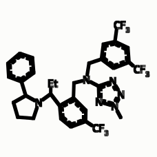 CCC(c1ccc(C(F)(F)F)cc1CN(Cc1cc(C(F)(F)F)cc(C(F)(F)F)c1)c1nnn(C)n1)N1CCCC1c1ccccc1